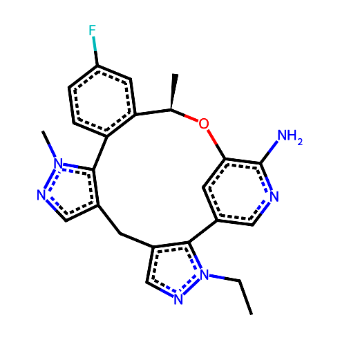 CCn1ncc2c1-c1cnc(N)c(c1)O[C@H](C)c1cc(F)ccc1-c1c(cnn1C)C2